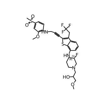 COCC(O)CN1CC[C@@H](Nc2cccc3c(CC(F)(F)F)c(C#CCNc4ccc(S(C)(=O)=O)cc4OC)sc23)[C@@H](F)C1